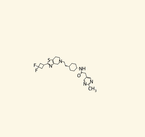 Cc1ncc(CC(=O)N[C@H]2CC[C@H](CCN3CCc4sc(C5CC(F)(F)C5)nc4C3)CC2)cn1